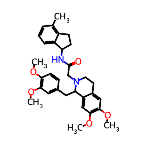 COc1ccc(CC2c3cc(OC)c(OC)cc3CCN2CC(=O)NC2CCc3c(C)cccc32)cc1OC